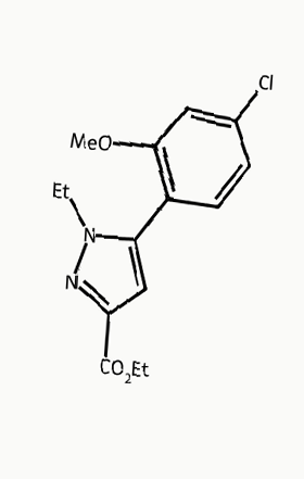 CCOC(=O)c1cc(-c2ccc(Cl)cc2OC)n(CC)n1